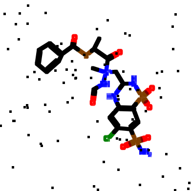 CC(SC(=O)c1ccccc1)C(=O)[N+](C)(CC1Nc2cc(Cl)c(S(N)(=O)=O)cc2S(=O)(=O)N1)NC=O